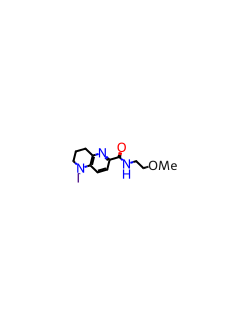 COCCNC(=O)c1ccc2c(n1)CCCN2I